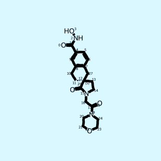 O=C(NO)c1ccc2c(c1)CC[C@@]1(CCN(CC(=O)N3CCOCC3)C1=O)C2